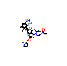 C=CC(=O)N1CCN(c2nc(OC[C@@H]3CCCN3C)nc3c2COC(c2c(F)c(N)cc(C)c2C(F)(F)F)C3)[C@@H](C)C1